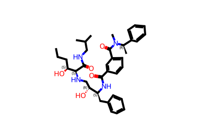 CCC[C@H](O)[C@H](NC[C@@H](O)[C@H](Cc1ccccc1)NC(=O)c1cccc(C(=O)N(C)[C@H](C)c2ccccc2)c1)C(=O)NCC(C)C